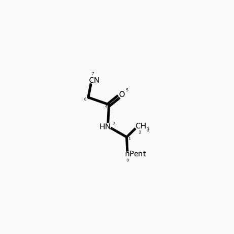 CCCCCC(C)NC(=O)CC#N